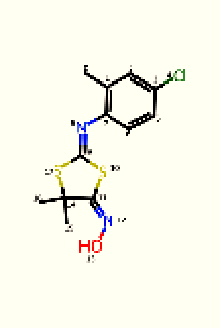 Cc1cc(Cl)ccc1N=C1SC(=NO)C(C)(C)S1